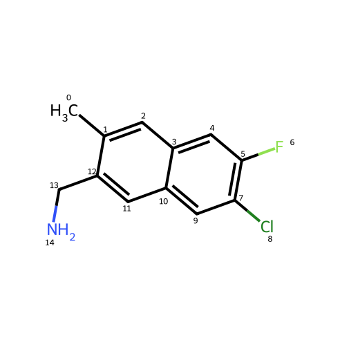 Cc1cc2cc(F)c(Cl)cc2cc1CN